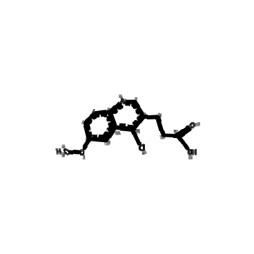 COc1ccc2ncc(CCC(=O)O)c(Cl)c2c1